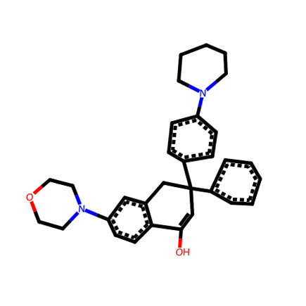 OC1=CC(c2ccccc2)(c2ccc(N3CCCCC3)cc2)Cc2cc(N3CCOCC3)ccc21